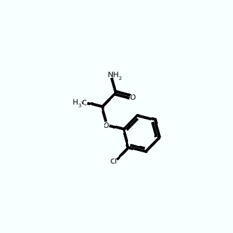 CC(Oc1ccccc1Cl)C(N)=O